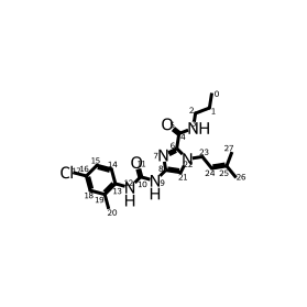 CCCNC(=O)c1nc(NC(=O)Nc2ccc(Cl)cc2C)cn1CC=C(C)C